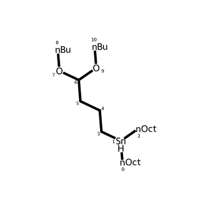 CCCCCCC[CH2][SnH]([CH2]CCCCCCC)[CH2]CCC(OCCCC)OCCCC